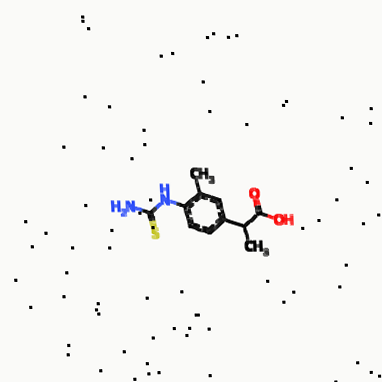 Cc1cc(C(C)C(=O)O)ccc1NC(N)=S